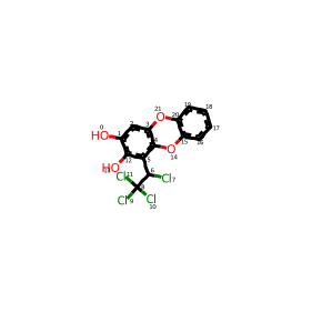 Oc1cc2c(c(C(Cl)C(Cl)(Cl)Cl)c1O)Oc1ccccc1O2